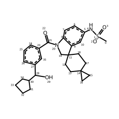 CS(=O)(=O)Nc1ccc2c(c1)C1(CCC3(CC3)CC1)CN2C(=O)c1cccc(C(O)C2CCCC2)c1